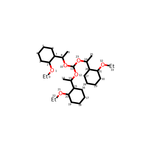 CCOC1CCCCC1C(C)OC(OC(C)C1CCCCC1OCC)OC(C)C1CCCCC1OCC